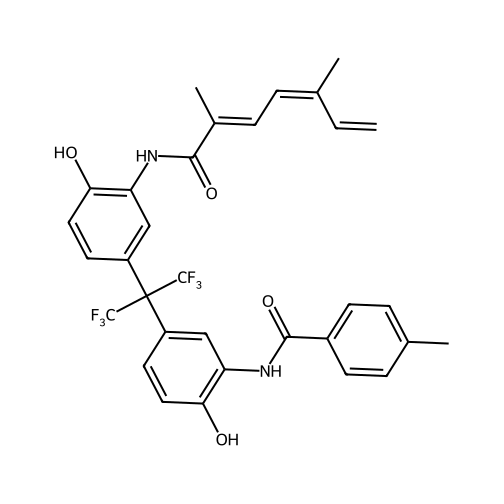 C=C/C(C)=C\C=C(/C)C(=O)Nc1cc(C(c2ccc(O)c(NC(=O)c3ccc(C)cc3)c2)(C(F)(F)F)C(F)(F)F)ccc1O